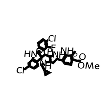 COC(=O)c1ccc(C2C[C@H]3[C@@H](N2)[C@H](c2cccc(Cl)c2F)[C@]2(C(=O)Nc4cc(Cl)ccc42)N3CC2CC2)c(N)c1C